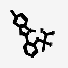 Cc1ccc2c(c1)nc(-c1ccncc1SC(F)(F)C(F)F)n2C